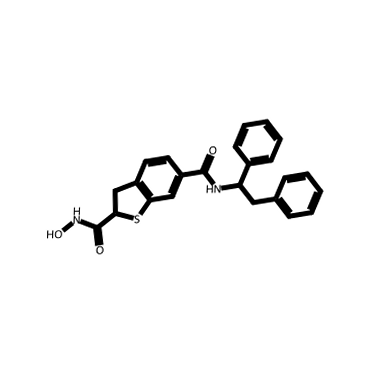 O=C(NC(Cc1ccccc1)c1ccccc1)c1ccc2c(c1)SC(C(=O)NO)C2